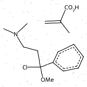 C=C(C)C(=O)O.COC(Cl)(CCN(C)C)c1ccccc1